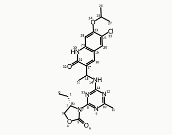 CC[C@H]1COC(=O)N1c1nc(C)nc(NC(C)c2cc3cc(Cl)c(OC(C)C)cc3[nH]c2=O)n1